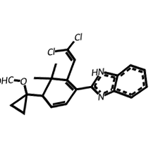 CC1(C)C(C=C(Cl)Cl)=C(c2nc3ccccc3[nH]2)C=CC1C1(OC=O)CC1